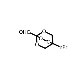 CCCC12COC(C=O)(OC1)OC2